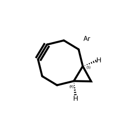 C1#CCC[C@H]2C[C@H]2CC1.[Ar]